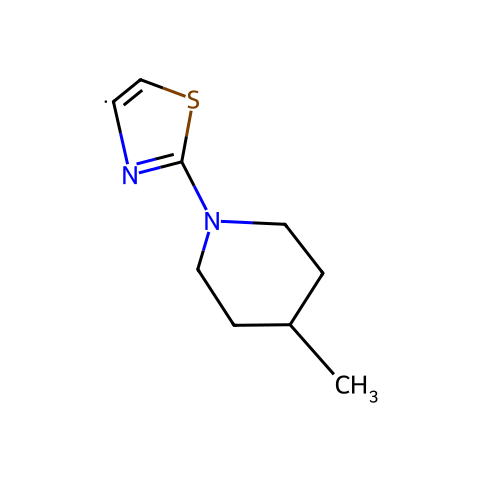 CC1CCN(c2n[c]cs2)CC1